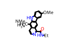 CCNC(=O)c1nccc2c(C)c3[nH]c4ccc(OC)cc4c3cc12.CNC